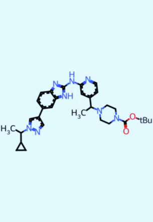 CC(c1ccnc(Nc2nc3ccc(-c4cnn(C(C)C5CC5)c4)cc3[nH]2)c1)N1CCN(C(=O)OC(C)(C)C)CC1